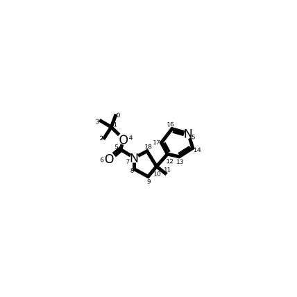 CC(C)(C)OC(=O)N1CCC(C)(c2ccncc2)C1